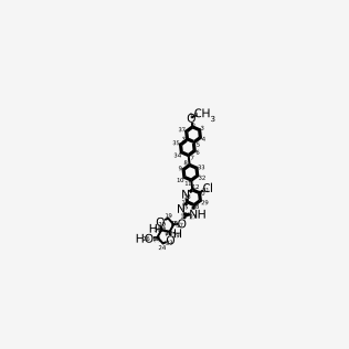 COc1ccc2cc(-c3ccc(-c4nc5nc(O[C@@H]6CO[C@H]7[C@@H]6OC[C@H]7O)[nH]c5cc4Cl)cc3)ccc2c1